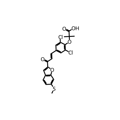 CSc1ccc2cc(C(=O)C=Cc3cc(Cl)c(OC(C)(C)C(=O)O)c(Cl)c3)oc2c1